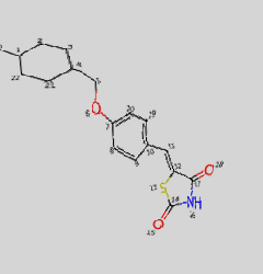 CC1CCC(COc2ccc(/C=C3\SC(=O)NC3=O)cc2)CC1